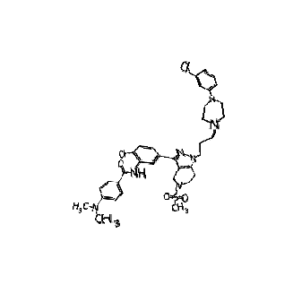 CN(C)c1ccc(C(=O)Nc2cc(-c3nn(CCCN4CCN(c5cccc(Cl)c5)CC4)c4c3CN(S(C)(=O)=O)CC4)ccc2Cl)cc1